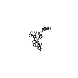 COC(=O)c1ccc(Oc2cccc(OCCN3CCNCC3)c2)c(-c2cn(C)c(=O)c3c2ccn3S(=O)(=O)c2ccc(C)cc2)c1